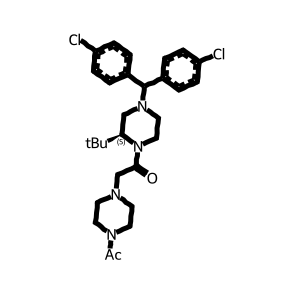 CC(=O)N1CCN(CC(=O)N2CCN(C(c3ccc(Cl)cc3)c3ccc(Cl)cc3)C[C@@H]2C(C)(C)C)CC1